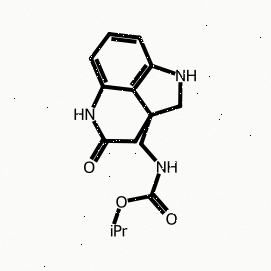 CC(C)OC(=O)NCC12CNc3cccc(c31)NC(=O)C2